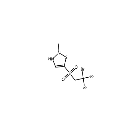 CN1NC=C(S(=O)(=O)CC(Br)(Br)Br)S1